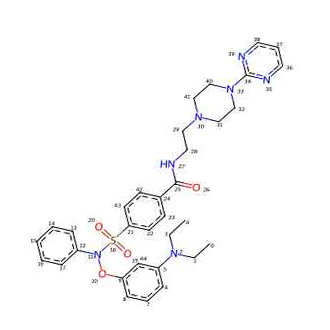 CCN(CC)c1cccc(ON(c2ccccc2)S(=O)(=O)c2ccc(C(=O)NCCN3CCN(c4ncccn4)CC3)cc2)c1